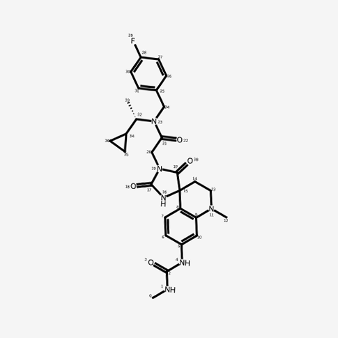 CNC(=O)Nc1ccc2c(c1)N(C)CCC21NC(=O)N(CC(=O)N(Cc2ccc(F)cc2)[C@@H](C)C2CC2)C1=O